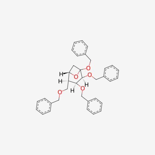 c1ccc(COC[C@@H]2[C@H](OCc3ccccc3)[C@H](OCc3ccccc3)C3(OCc4ccccc4)C[C@@H]2O3)cc1